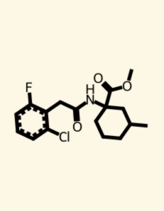 COC(=O)C1(NC(=O)Cc2c(F)cccc2Cl)CCCC(C)C1